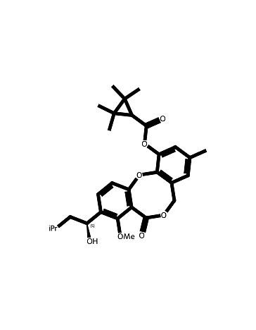 COc1c([C@@H](O)CC(C)C)ccc2c1C(=O)OCc1cc(C)cc(OC(=O)C3C(C)(C)C3(C)C)c1O2